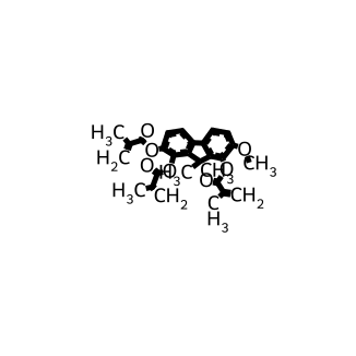 C=C(C)C(=O)Oc1ccc2c(c1OC(=O)C(=C)C)C(C)(C)c1c-2ccc(OC)c1OC(=O)C(=C)C